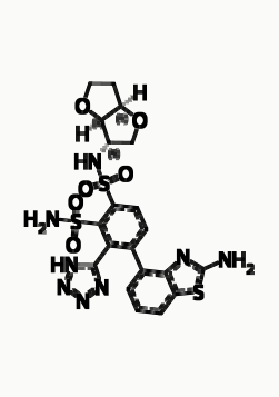 Nc1nc2c(-c3ccc(S(=O)(=O)N[C@H]4CO[C@@H]5CCO[C@H]45)c(S(N)(=O)=O)c3-c3nnn[nH]3)cccc2s1